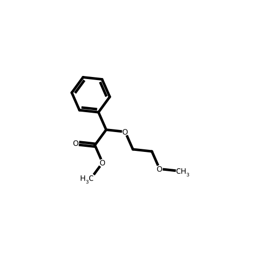 COCCOC(C(=O)OC)c1ccccc1